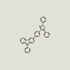 c1ccc(C2CN(c3ccccc3)C(c3ccc(-c4ccc5c(c4)c4ccccc4n5-c4ccccc4)cc3)=N2)cc1